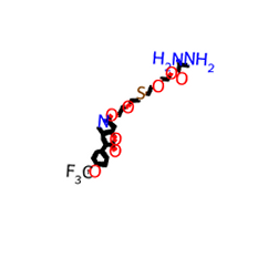 NCC(N)C(=O)OCCOCCSCCOCCOc1cc2oc(=O)c(-c3ccc(OC(F)(F)F)cc3)cc2cn1